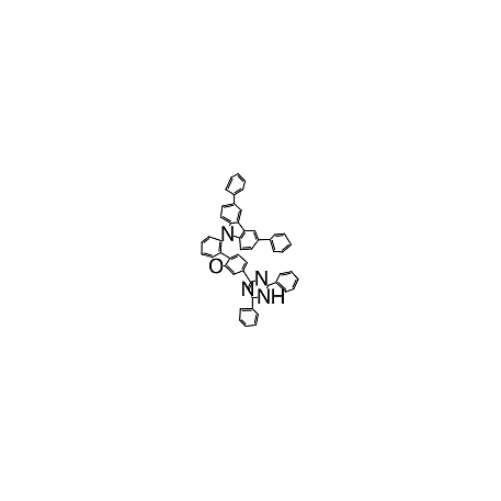 c1ccc(C2=NC(c3ccc4c(c3)oc3cccc(-n5c6ccc(-c7ccccc7)cc6c6cc(-c7ccccc7)ccc65)c34)=NC(c3ccccc3)N2)cc1